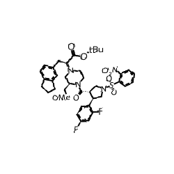 COC[C@H]1CN([C@@H](Cc2ccc3c(c2)CCC3)C(=O)OC(C)(C)C)CCN1C(=O)[C@@H]1CN(S(=O)(=O)c2ccccc2[N+](=O)[O-])C[C@H]1c1ccc(F)cc1F